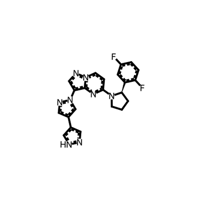 Fc1ccc(F)c([C@H]2CCCN2c2ccn3ncc(-n4cc(-c5cn[nH]c5)cn4)c3n2)c1